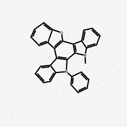 Cn1c2ccccc2c2c3oc4ccccc4c3c3c4ccccc4n(-c4ccccc4)c3c21